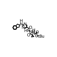 CC(C)(C)OC(=O)NC1(C(=O)NNC(=O)c2cnc(NC3Cc4ccccc4C3)nc2)CC1